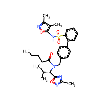 CCCCC(=O)N(Cc1ccc(-c2ccccc2S(=O)(=O)Nc2onc(C)c2C)cc1)[C@H](c1nc(C)no1)C(C)C